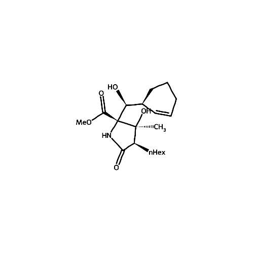 CCCCCC[C@H]1C(=O)N[C@](C(=O)OC)([C@@H](O)[C@@H]2C=CCCC2)[C@@]1(C)O